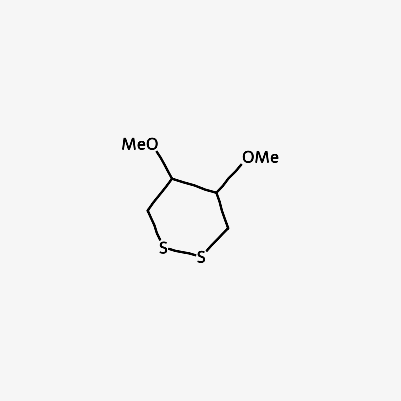 COC1CSSCC1OC